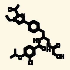 CCn1cc(-c2ccc(CC(CNC(=O)CO)NC(=O)c3ccc(OC(C)C)c(Cl)c3)cc2)nc1C(C)=O